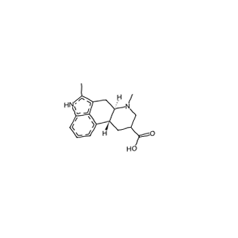 Cc1[nH]c2cccc3c2c1C[C@@H]1[C@@H]3CC(C(=O)O)CN1C